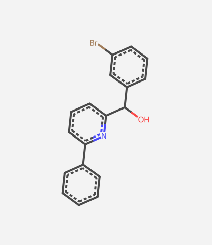 OC(c1cccc(Br)c1)c1cccc(-c2ccccc2)n1